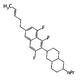 CC=CCCc1cc(F)c2c(F)c(C3CCC4CC(CCC)CCC4C3)c(F)cc2c1